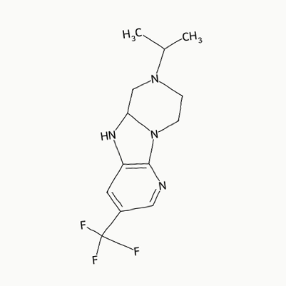 CC(C)N1CCN2c3ncc(C(F)(F)F)cc3NC2C1